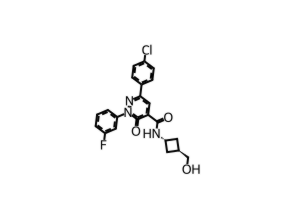 O=C(N[C@H]1C[C@H](CO)C1)c1cc(-c2ccc(Cl)cc2)nn(-c2cccc(F)c2)c1=O